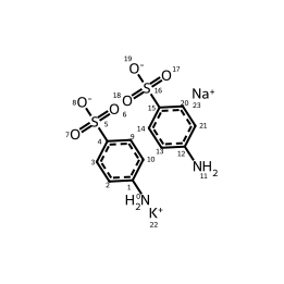 Nc1ccc(S(=O)(=O)[O-])cc1.Nc1ccc(S(=O)(=O)[O-])cc1.[K+].[Na+]